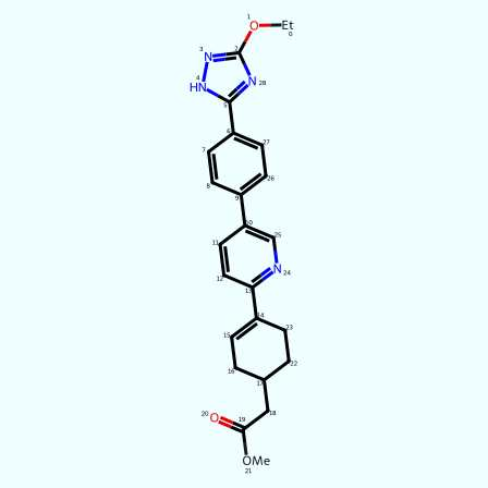 CCOc1n[nH]c(-c2ccc(-c3ccc(C4=CCC(CC(=O)OC)CC4)nc3)cc2)n1